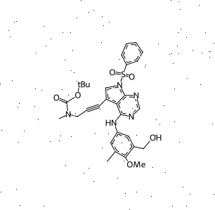 COc1c(C)cc(Nc2ncnc3c2c(C#CCN(C)C(=O)OC(C)(C)C)cn3S(=O)(=O)c2ccccc2)cc1CO